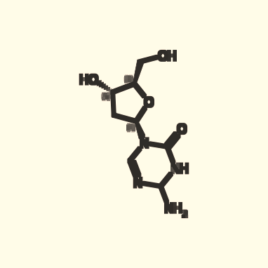 NC1N=CN([C@H]2C[C@H](O)[C@@H](CO)O2)C(=O)N1